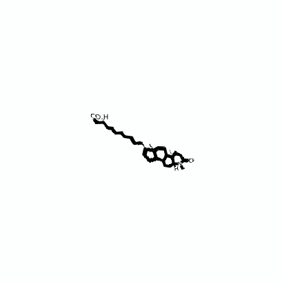 CN1C(=O)CC[C@]2(C)C3CC[C@@]4(C)C(CC[C@@H]4CCCCCCCCCCC(=O)O)C3CC[C@@H]12